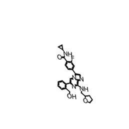 O=C(NC1CC1)c1ccc(-c2cnc3c(NCC4CCCO4)nc(-c4ccccc4CO)cn23)cc1F